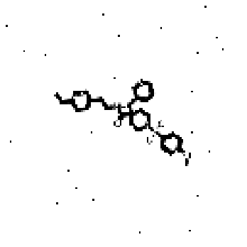 CCc1ccc(CCNC(=O)C2(Cc3ccccc3)CCN(S(=O)(=O)c3ccc(OC)cc3)CC2)cc1